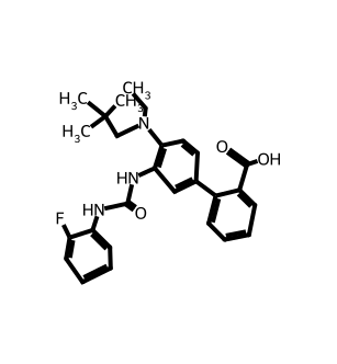 CCN(CC(C)(C)C)c1ccc(-c2ccccc2C(=O)O)cc1NC(=O)Nc1ccccc1F